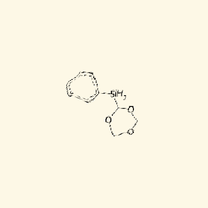 c1ccc([SiH2]C2OCOCO2)cc1